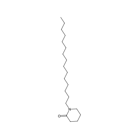 CCCCCCCCCCCCCCCN1CCCCC1=O